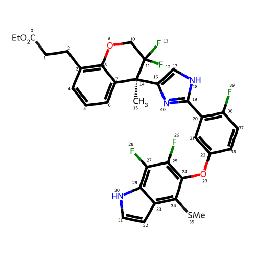 CCOC(=O)CCc1cccc2c1OCC(F)(F)[C@@]2(C)c1c[nH]c(-c2cc(Oc3c(F)c(F)c4[nH]ccc4c3SC)ccc2F)n1